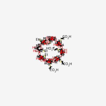 CCSC[C@H]1O[C@@H]2OC3[C@@H](CSCC)O[C@H](OC4[C@@H](CSCC)O[C@H](O[C@H]5[C@H](O)[C@@H](O)[C@@H](OC6[C@@H](CSCCC(=O)O)O[C@H](OC7[C@@H](CSCCC(=O)O)O[C@H](OC8[C@@H](CSCCC(=O)O)O[C@H](OC9[C@@H](CSCCC(=O)O)O[C@H](OC1[C@H](O)[C@H]2O)[C@H](O)[C@H]9O)[C@H](O)[C@H]8O)[C@H](O)[C@H]7O)[C@H](O)[C@H]6O)O[C@@H]5CSCC)[C@H](O)[C@H]4O)[C@H](O)[C@H]3O